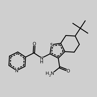 CC(C)(C)C1CCc2c(sc(NC(=O)c3cccnc3)c2C(N)=O)C1